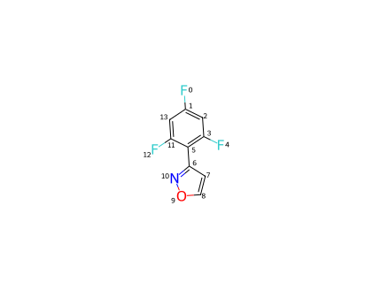 Fc1cc(F)c(-c2ccon2)c(F)c1